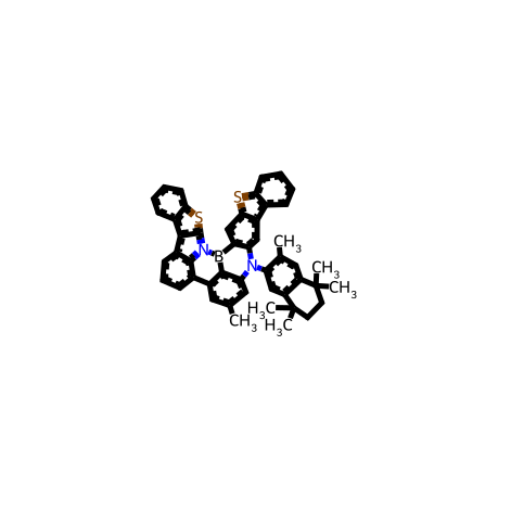 Cc1cc2c3c(c1)N(c1cc4c(cc1C)C(C)(C)CCC4(C)C)c1cc4c(cc1B3n1c3sc5ccccc5c3c3cccc-2c31)sc1ccccc14